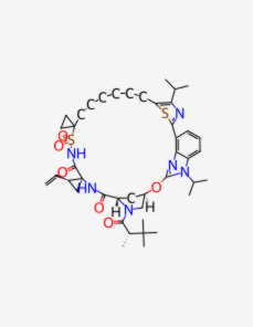 C=C[C@@H]1C[C@@]12NC(=O)[C@@H]1C[C@H](CN1C(=O)[C@@H](C)C(C)(C)C)Oc1nc3c(cccc3n1C(C)C)-c1nc(C(C)C)c(s1)CCCCCCC1(CC1)S(=O)(=O)NC2=O